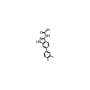 Cc1ccc(-c2ccc3c(NC(=O)C(C)C)n[nH]c3c2)cc1C